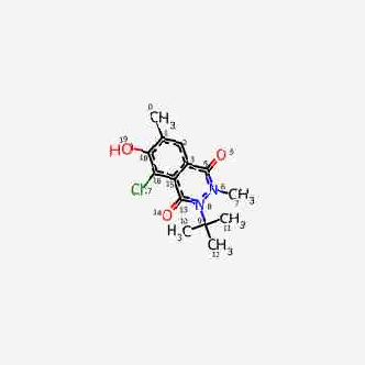 Cc1cc2c(=O)n(C)n(C(C)(C)C)c(=O)c2c(Cl)c1O